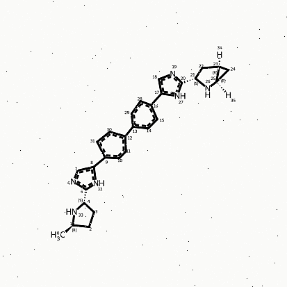 C[C@@H]1CC[C@@H](c2ncc(-c3ccc(-c4ccc(-c5cnc([C@@H]6C[C@H]7C[C@H]7N6)[nH]5)cc4)cc3)[nH]2)N1